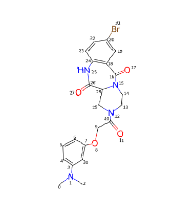 CN(C)c1cccc(OCC(=O)N2CCN3C(=O)c4cc(Br)ccc4NC(=O)C3C2)c1